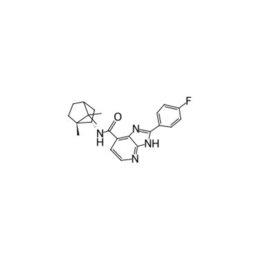 CC1(C)C2CC[C@@]1(C)[C@@H](NC(=O)c1ccnc3[nH]c(-c4ccc(F)cc4)nc13)C2